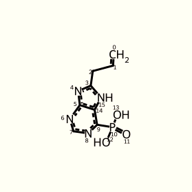 C=CCc1nc2ncnc(P(=O)(O)O)c2[nH]1